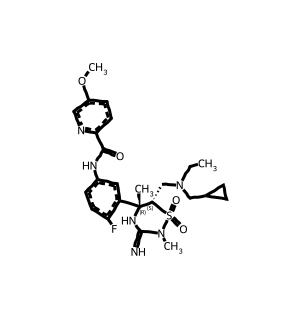 CCN(CC1CC1)C[C@H]1[C@@](C)(c2cc(NC(=O)c3ccc(OC)cn3)ccc2F)NC(=N)N(C)S1(=O)=O